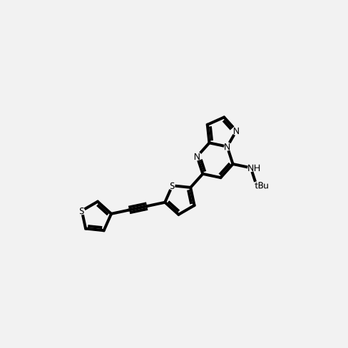 CC(C)(C)Nc1cc(-c2ccc(C#Cc3ccsc3)s2)nc2ccnn12